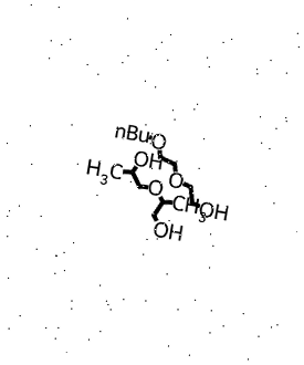 CC(O)COC(C)CO.CCCCOCCOCCO